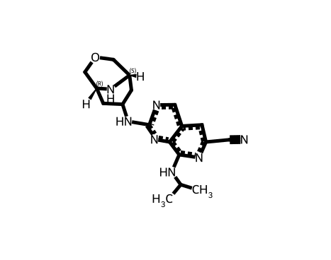 CC(C)Nc1nc(C#N)cc2cnc(NC3C[C@H]4COC[C@@H](C3)N4)nc12